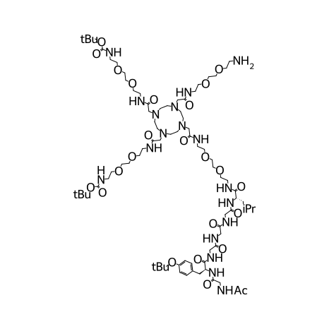 CC(=O)NCC(=O)N[C@@H](Cc1ccc(OC(C)(C)C)cc1)C(=O)NCC(=O)NCC(=O)NCC(=O)N[C@@H](CC(C)C)C(=O)NCCOCCOCCNC(=O)CN1CCN(CC(=O)NCCOCCOCCN)CCN(CC(=O)NCCOCCOCCNC(=O)OC(C)(C)C)CCN(CC(=O)NCCOCCOCCNC(=O)OC(C)(C)C)CC1